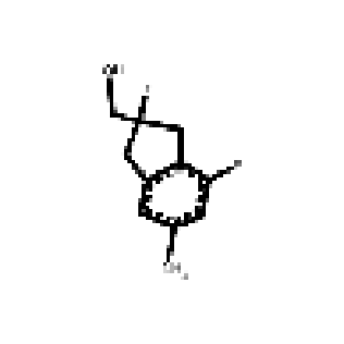 Nc1cc(F)c2c(c1)CC(F)(CO)C2